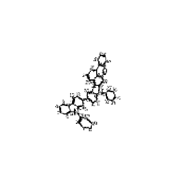 c1ccc(-n2c3ccccc3c3ccc(-c4ccc5c(c4)c4c6cccc7c6c(cc4n5-c4ccccc4)Oc4ccccc4-7)cc32)cc1